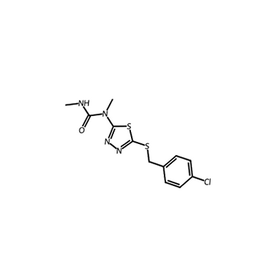 CNC(=O)N(C)c1nnc(SCc2ccc(Cl)cc2)s1